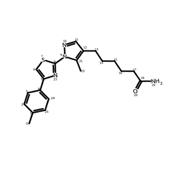 Cc1ccc(-c2csc(-n3ncc(CCCCCC(N)=O)c3C)n2)cc1